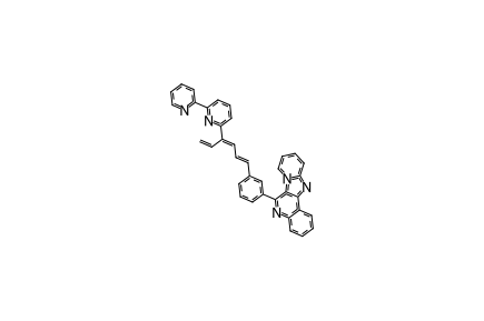 C=C/C(=C\C=C\c1cccc(-c2nc3ccccc3c3nc4ccccn4c23)c1)c1cccc(-c2ccccn2)n1